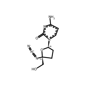 [N-]=[N+]=N[C@@]1(CO)CC[C@H](n2ccc(N)nc2=O)O1